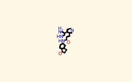 N=C/C(=C\N)c1ccncc1/C=C/C(=O)Nc1ccc2c(c1)CCC2=O